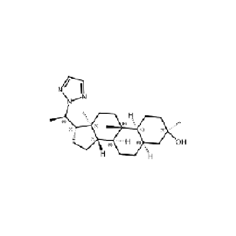 C[C@H]([C@H]1CC[C@H]2[C@@H]3CC[C@@H]4C[C@](C)(O)CC[C@@H]4[C@@]3(C)CC[C@]12C)n1nccn1